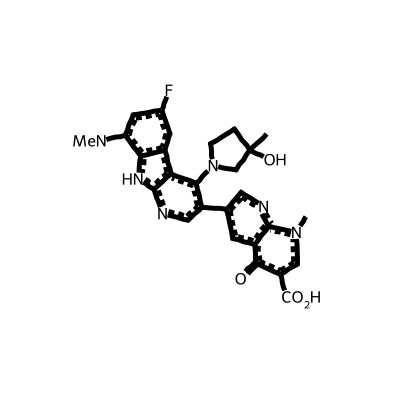 CNc1cc(F)cc2c1[nH]c1ncc(-c3cnc4c(c3)c(=O)c(C(=O)O)cn4C)c(N3CCC(C)(O)C3)c12